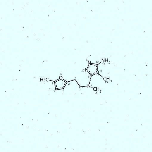 Cc1ccc(CCN(C)c2nnc(N)n2C)o1